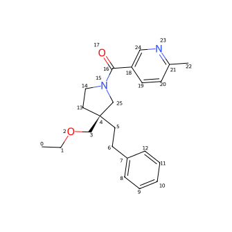 CCOC[C@@]1(CCc2ccccc2)CCN(C(=O)c2ccc(C)nc2)C1